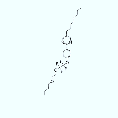 CCCCCCCCc1cnc(-c2ccc(OC(F)(F)C(F)(F)OCCOCCCC)cc2)nc1